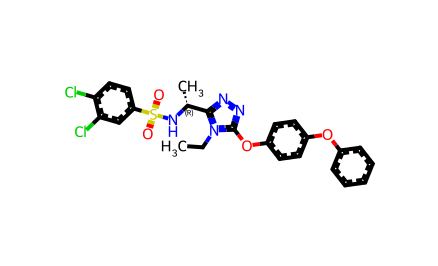 CCn1c(Oc2ccc(Oc3ccccc3)cc2)nnc1[C@@H](C)NS(=O)(=O)c1ccc(Cl)c(Cl)c1